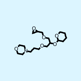 C1CCC(OC(COCCCN2CCOCC2)COCC2CO2)OC1